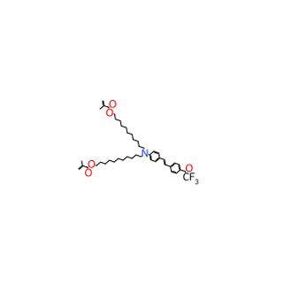 C=C(C)C(=O)OCCCCCCCCCCCN(CCCCCCCCCCCOC(=O)C(=C)C)c1ccc(C=Cc2ccc(C(=O)C(F)(F)F)cc2)cc1